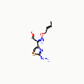 CC=CCO/N=C(\[C]=O)c1csc(N)n1